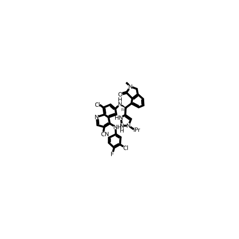 CC(C)N1C=C([C@@H](Nc2cc(Cl)c3ncc(C#N)c(Nc4ccc(F)c(Cl)c4)c3c2)c2cccc3c2C(=O)N(C)C3)NN1